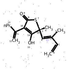 C=C/C(C)=C/[C@@]1(C)SC(=O)C(C(=C)CCC)=C1O